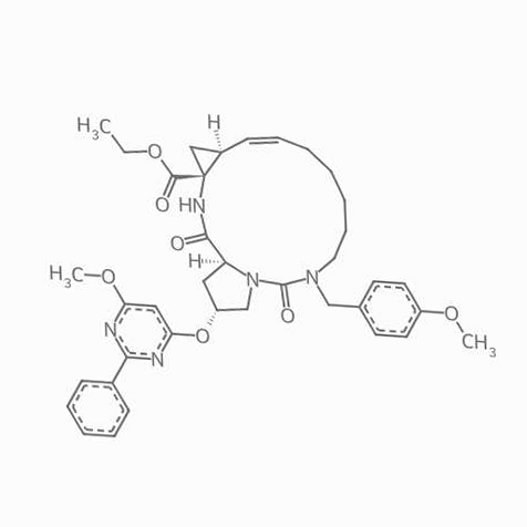 CCOC(=O)[C@@]12C[C@H]1/C=C\CCCCCN(Cc1ccc(OC)cc1)C(=O)N1C[C@H](Oc3cc(OC)nc(-c4ccccc4)n3)C[C@H]1C(=O)N2